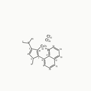 CC(C)C1=CC(C)C(c2cccc3cccnc23)=[C]1[Cr+2].[Cl-].[Cl-]